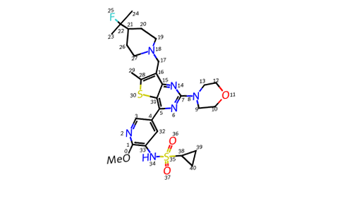 COc1ncc(-c2nc(N3CCOCC3)nc3c(CN4CCC(C(C)(C)F)CC4)c(C)sc23)cc1NS(=O)(=O)C1CC1